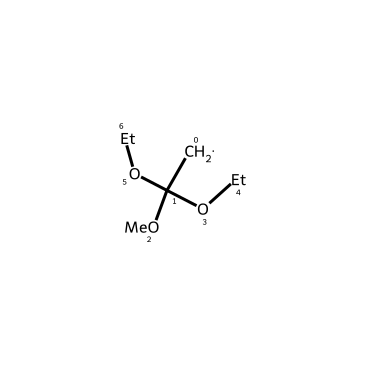 [CH2]C(OC)(OCC)OCC